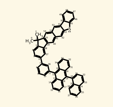 CC1(C)c2ccc(-c3cccc(-c4c5ccccc5c(-c5cccc6ccccc56)c5ccccc45)c3)cc2-c2cc3cc4sc5ccccc5c4cc3cc21